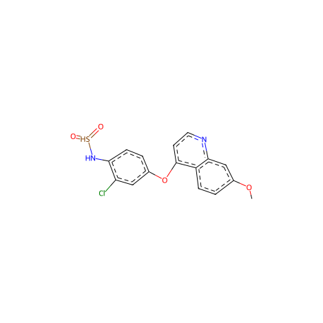 COc1ccc2c(Oc3ccc(N[SH](=O)=O)c(Cl)c3)ccnc2c1